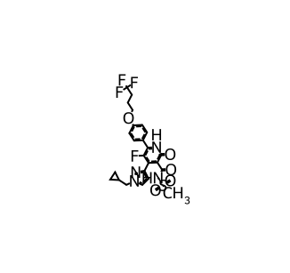 CS(=O)(=O)NC(=O)c1c(-c2ccn(CC3CC3)n2)c(F)c(-c2ccc(OCCCC(F)(F)F)cc2)[nH]c1=O